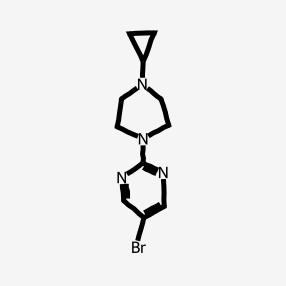 Brc1cnc(N2CCN(C3CC3)CC2)nc1